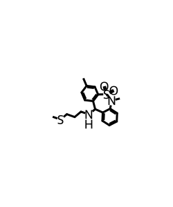 CSCCCNC1c2ccccc2N(C)S(=O)(=O)c2cc(C)ccc21